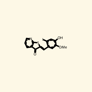 COc1cc(/C=C2\Sc3ncccc3C2=O)c(I)cc1O